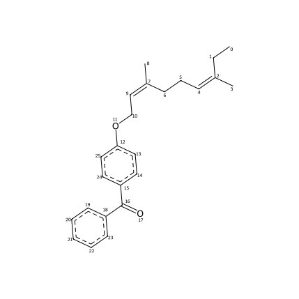 CCC(C)=CCCC(C)=CCOc1ccc(C(=O)c2ccccc2)cc1